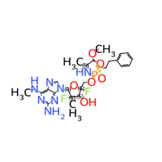 CNc1nc(N)nc2c1ncn2[C@@H]1O[C@](F)(COP(=O)(N[C@H](C)C(=O)OC)SCCc2ccccc2)[C@@H](O)[C@@]1(C)F